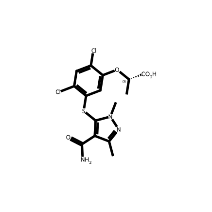 Cc1nn(C)c(Sc2cc(O[C@@H](C)C(=O)O)c(Cl)cc2Cl)c1C(N)=O